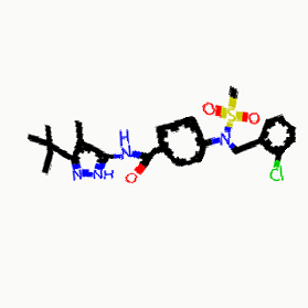 Cc1c(C(C)(C)C)n[nH]c1NC(=O)c1ccc(N(Cc2ccccc2Cl)S(C)(=O)=O)cc1